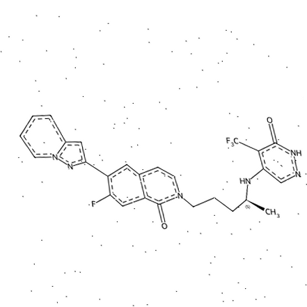 C[C@@H](CCCn1ccc2cc(-c3cc4ccccn4n3)c(F)cc2c1=O)Nc1cn[nH]c(=O)c1C(F)(F)F